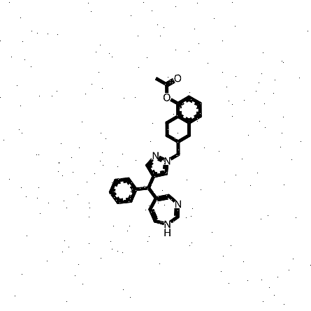 CC(=O)Oc1cccc2c1CCC(Cn1cc(C(C3=CN=CNC=C3)c3ccccc3)cn1)C2